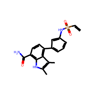 C=CS(=O)(=O)Nc1cccc(-c2ccc(C(N)=O)c3[nH]c(C)c(C)c23)c1